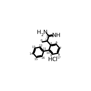 CC(C(=N)N)c1ccccc1-c1ccccc1.Cl